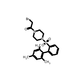 Cc1cc(C)c(-c2ccccc2S(=O)(=O)N2CCN(C(=O)CBr)CC2)c(C)c1